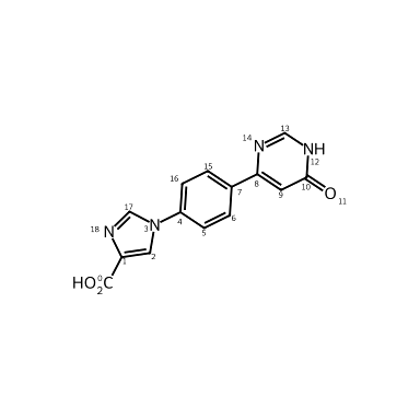 O=C(O)c1cn(-c2ccc(-c3cc(=O)[nH]cn3)cc2)cn1